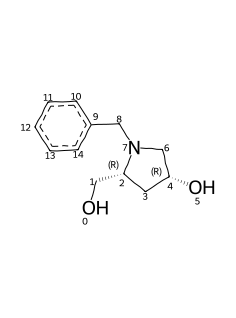 OC[C@H]1C[C@@H](O)CN1Cc1ccccc1